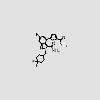 NC(=O)c1ccc(-c2cc(F)cc3nn(CC4CCC(F)(F)CC4)c(C(N)=O)c23)s1